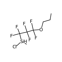 CCCOC(F)(F)C(F)(F)C(F)(F)[SiH](C)Cl